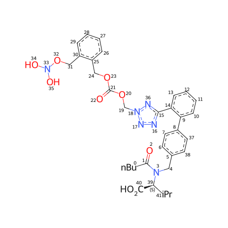 CCCCC(=O)N(Cc1ccc(-c2ccccc2-c2nnn(COC(=O)OCc3ccccc3CON(O)O)n2)cc1)[C@H](C(=O)O)C(C)C